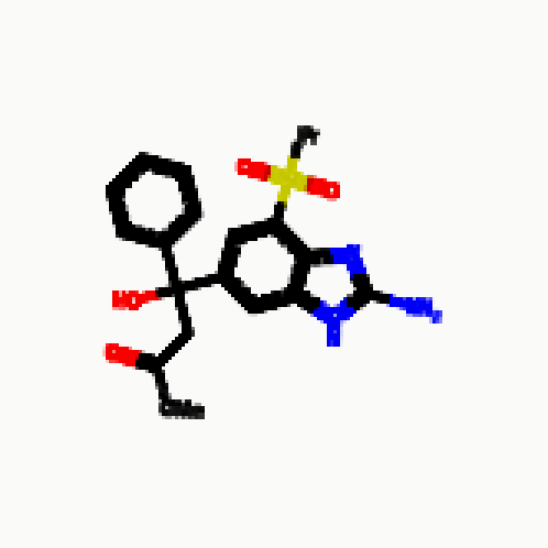 COC(=O)CC(O)(c1ccccc1)c1cc(S(=O)(=O)C(C)C)c2nc(N)[nH]c2c1